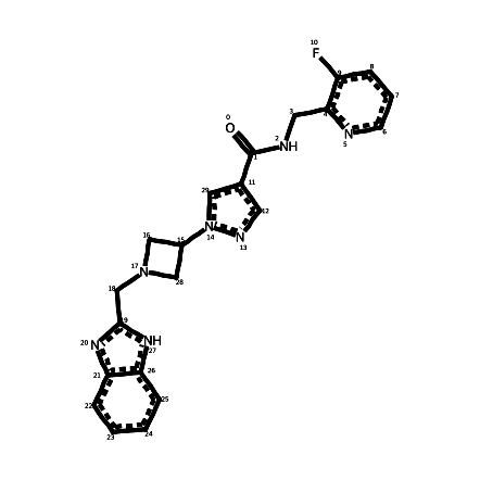 O=C(NCc1ncccc1F)c1cnn(C2CN(Cc3nc4ccccc4[nH]3)C2)c1